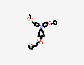 C=CC(=O)OCc1ccc(N(c2ccc(COC(=O)C=Cc3cccs3)cc2)c2ccc(OCc3ccccc3)cc2)cc1